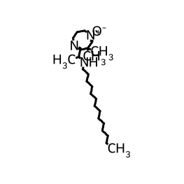 CCCCCCCCCCCCCCNC(C)C1=NCCC[N+]([O-])=CC1(C)C